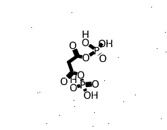 O=C(CC(=O)OP(=O)(O)O)OP(=O)(O)O